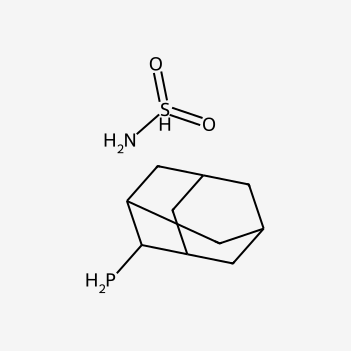 N[SH](=O)=O.PC1C2CC3CC(C2)CC1C3